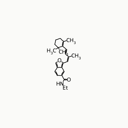 CCNC(=O)c1ccc2coc(C=C(C)C=CC3=C(C)CCCC3(C)C)c2c1